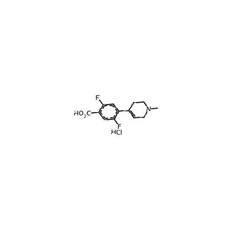 CN1CC=C(c2cc(F)c(C(=O)O)cc2F)CC1.Cl